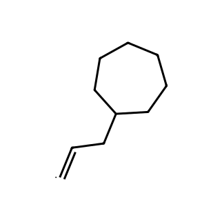 [CH]=CCC1CCCCCC1